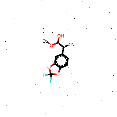 CCOC(O)C(C#N)c1ccc2c(c1)OC(F)(F)O2